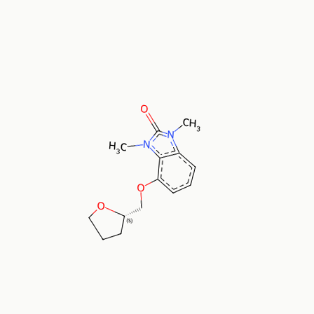 Cn1c(=O)n(C)c2c(OC[C@@H]3CCCO3)cccc21